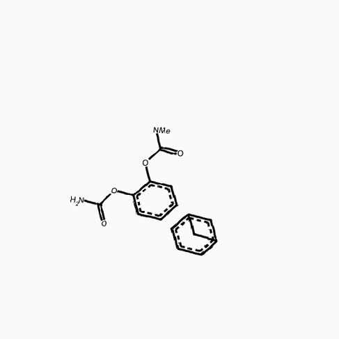 CNC(=O)Oc1ccccc1OC(N)=O.c1cc2cc(c1)C2